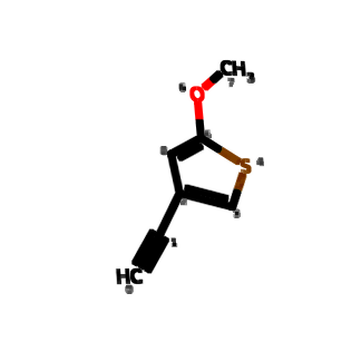 C#Cc1csc(OC)c1